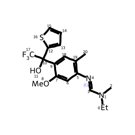 CCN(C)/C=N/c1cc(OC)c(C(O)(c2cccs2)C(F)(F)F)cc1C